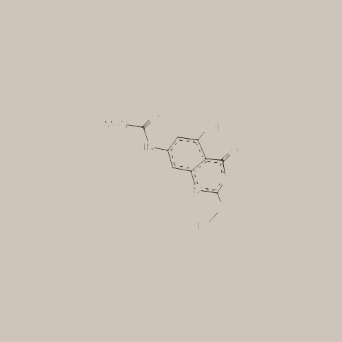 CCOc1nc2cc(NC(=O)NC)cc(C)c2c(=O)o1